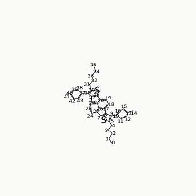 CCCCCc1sc2c(c1-c1ccc(C)cc1)-c1ccc3c4c(ccc-2c14)-c1c-3sc(CCCCC)c1-c1ccc(C)cc1